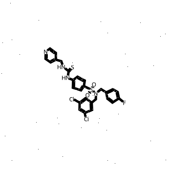 O=S(=O)(c1ccc(NC(=S)NCc2ccncc2)cc1)N(Cc1ccc(F)cc1)Cc1cc(Cl)cc(Cl)c1